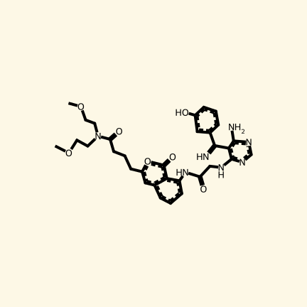 COCCN(CCOC)C(=O)CCCc1cc2cccc(NC(=O)CNc3ncnc(N)c3C(=N)c3cccc(O)c3)c2c(=O)o1